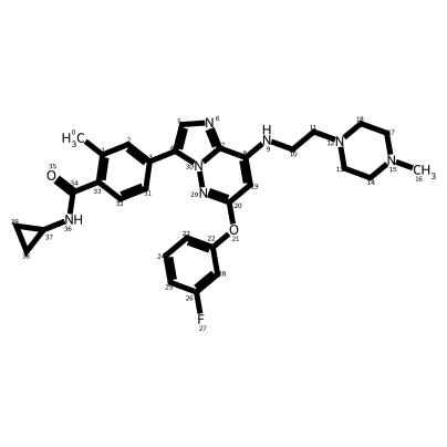 Cc1cc(-c2cnc3c(NCCN4CCN(C)CC4)cc(Oc4cccc(F)c4)nn23)ccc1C(=O)NC1CC1